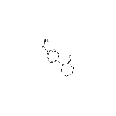 COc1ccc(N2CCCCC2=O)cc1